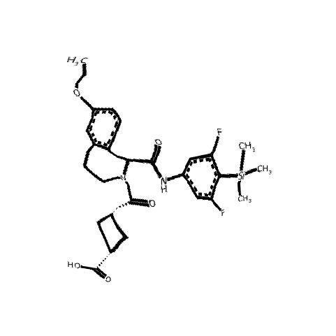 CCOc1ccc2c(c1)CCN(C(=O)[C@H]1C[C@@H](C(=O)O)C1)C2C(=O)Nc1cc(F)c([Si](C)(C)C)c(F)c1